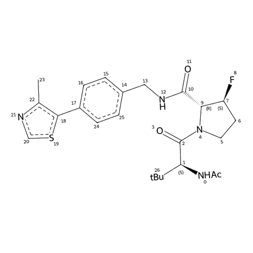 CC(=O)N[C@H](C(=O)N1CC[C@H](F)[C@H]1C(=O)NCc1ccc(-c2scnc2C)cc1)C(C)(C)C